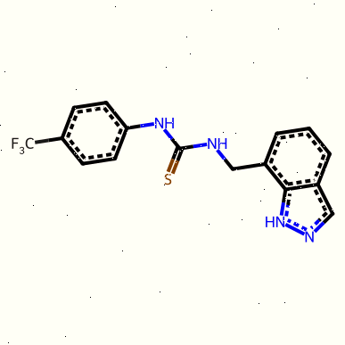 FC(F)(F)c1ccc(NC(=S)NCc2cccc3cn[nH]c23)cc1